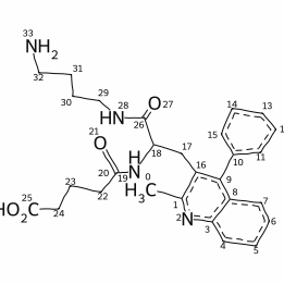 Cc1nc2ccccc2c(-c2ccccc2)c1CC(NC(=O)CCCC(=O)O)C(=O)NCCCCN